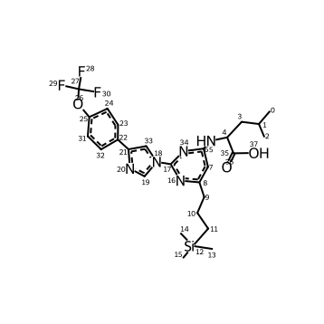 CC(C)CC(Nc1cc(CCC[Si](C)(C)C)nc(-n2cnc(-c3ccc(OC(F)(F)F)cc3)c2)n1)C(=O)O